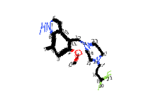 COc1cc(C)c2[nH]ccc2c1CN1CCN(CCC(F)F)CC1